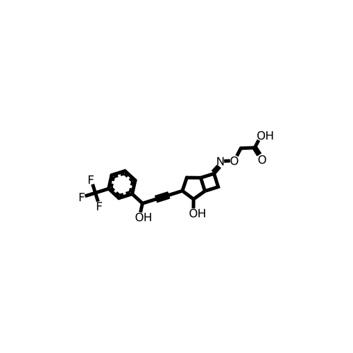 O=C(O)CON=C1CC2C1CC(C#CC(O)c1cccc(C(F)(F)F)c1)C2O